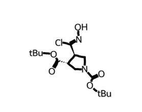 CC(C)(C)OC(=O)[C@H]1CN(C(=O)OC(C)(C)C)C[C@@H]1/C(Cl)=N/O